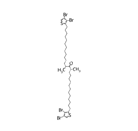 CC(CCCCCCCCCCCCc1scc(Br)c1Br)C(=O)C(C)CCCCCCCCCCCCc1scc(Br)c1Br